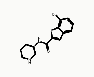 O=C(N[C@@H]1CCCNC1)c1cc2cccc(Br)c2s1